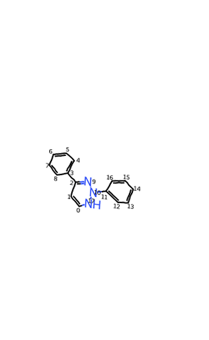 C1=CC(c2ccccc2)=NN(c2ccccc2)N1